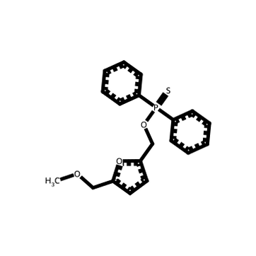 COCc1ccc(COP(=S)(c2ccccc2)c2ccccc2)o1